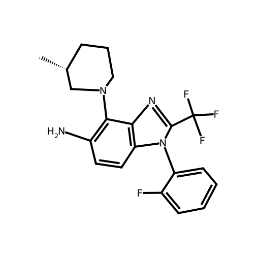 [CH2][C@@H]1CCCN(c2c(N)ccc3c2nc(C(F)(F)F)n3-c2ccccc2F)C1